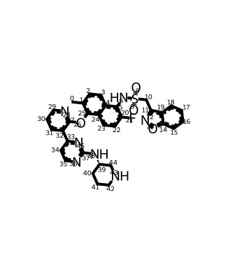 Cc1ccc2c(NS(=O)(=O)Cc3noc4ccccc34)c(F)ccc2c1Oc1ncccc1-c1ccnc(N[C@H]2CCCNC2)n1